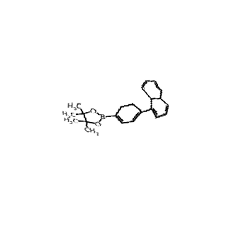 CC1(C)OB(C2=CC=C(C3=CC=CC4C=CC=CC34)CC2)OC1(C)C